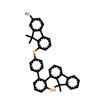 CC(=O)c1ccc2c(c1)C(C)(C)c1c(Sc3ccc(-c4cccc(S)c4-c4cccc5c4C(C)(C)c4ccccc4-5)cc3)cccc1-2